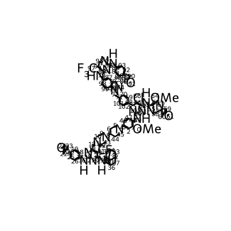 COc1cc(N2CCC(N3CCN(Cc4nc(Nc5ccc(P(C)(C)=O)cc5)nc(NC56CC7CC(CC(C7)C5)C6)c4C(F)(F)F)CC3)CC2)ccc1Nc1nc(Nc2ncc(P(C)(C)=O)nc2OC)c(Cl)c(-c2ccc(Cn3ncc4cc(Nc5nc(Nc6ccc(P(C)(C)=O)cc6)ncc5C(F)(F)F)ccc43)cc2)n1